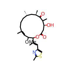 COC1/C=C(/C)CCC[C@H](C)C[C@@H](C)C(=O)C(C)[C@@H](O)CC(=O)OC1/C(C)=C/c1csc(C)n1